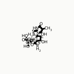 BC(B)(OP(=O)(O)OP(=O)(O)O)[C@@]1(F)O[C@@](B)(n2cc(C)c(=O)[nH]c2=S)[C@H](O)[C@@H]1O